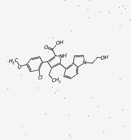 CCc1c(-c2cccc3c2ccn3CCO)[nH]c(C(=O)O)c1-c1ccc(OC)cc1Cl